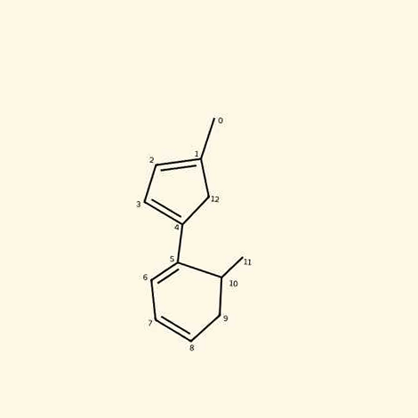 CC1=CC=C(C2=CC=CCC2C)C1